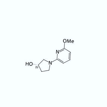 COc1cccc(N2CC[C@H](O)C2)n1